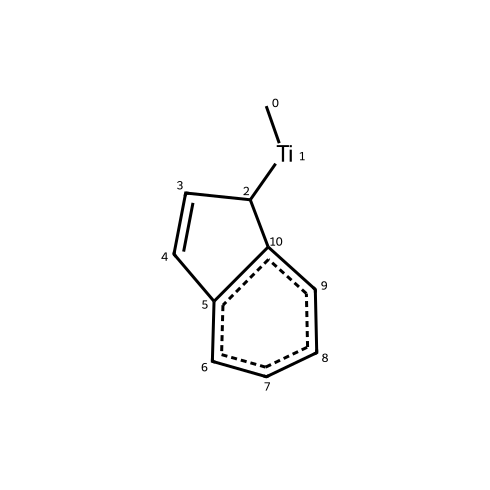 [CH3][Ti][CH]1C=Cc2ccccc21